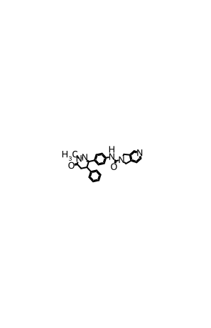 CN1N=C(c2ccc(NC(=O)N3Cc4ccncc4C3)cc2)C(c2ccccc2)CC1=O